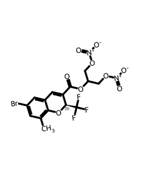 Cc1cc(Br)cc2c1O[C@H](C(F)(F)F)C(C(=O)OC(CO[N+](=O)[O-])CO[N+](=O)[O-])=C2